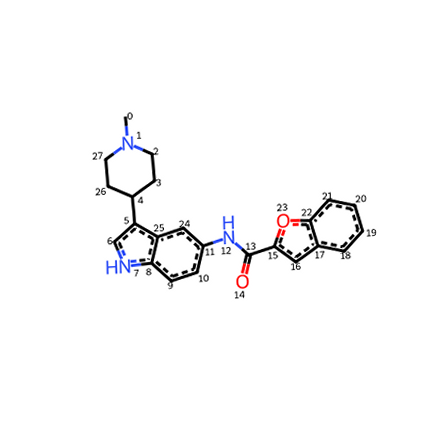 CN1CCC(c2c[nH]c3ccc(NC(=O)c4cc5ccccc5o4)cc23)CC1